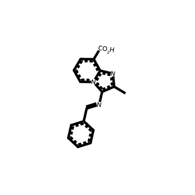 Cc1nc2c(C(=O)O)cccn2c1N=Cc1ccccc1